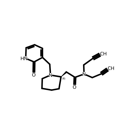 C#CCN(CC#C)C(=O)C[C@H]1CCCCN1Cc1ccc[nH]c1=O